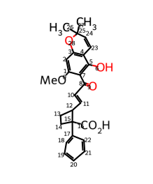 COc1cc2c(c(O)c1C(=O)C=CC1CCC1(C(=O)O)c1ccccc1)C=CC(C)(C)O2